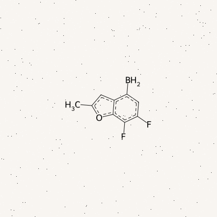 Bc1cc(F)c(F)c2oc(C)cc12